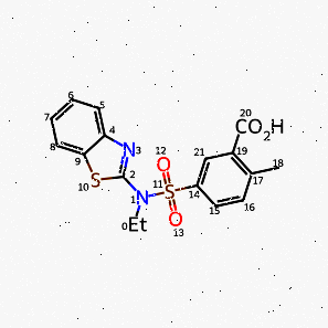 CCN(c1nc2ccccc2s1)S(=O)(=O)c1ccc(C)c(C(=O)O)c1